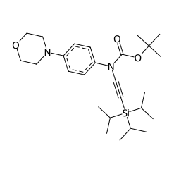 CC(C)[Si](C#CN(C(=O)OC(C)(C)C)c1ccc(N2CCOCC2)cc1)(C(C)C)C(C)C